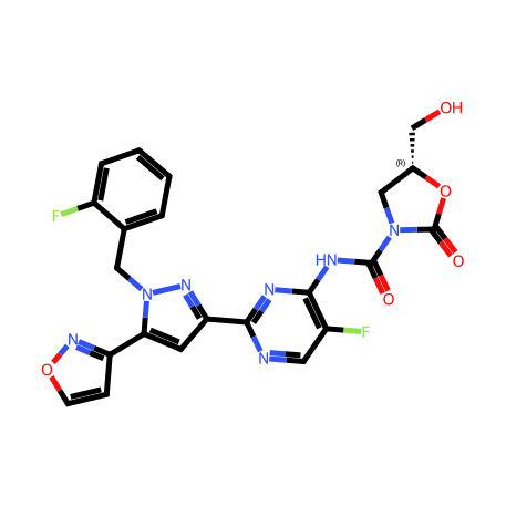 O=C(Nc1nc(-c2cc(-c3ccon3)n(Cc3ccccc3F)n2)ncc1F)N1C[C@H](CO)OC1=O